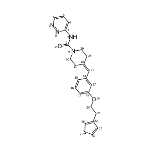 O=C(Nc1cccnn1)N1CCC(=Cc2cccc(OCCc3ccsc3)c2)CC1